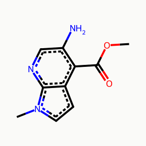 COC(=O)c1c(N)cnc2c1ccn2C